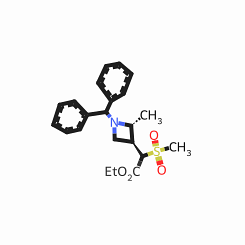 CCOC(=O)C([C@H]1CN(C(c2ccccc2)c2ccccc2)[C@@H]1C)S(C)(=O)=O